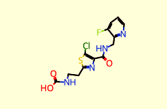 O=C(O)NCCc1nc(C(=O)NCc2ncccc2F)c(Cl)s1